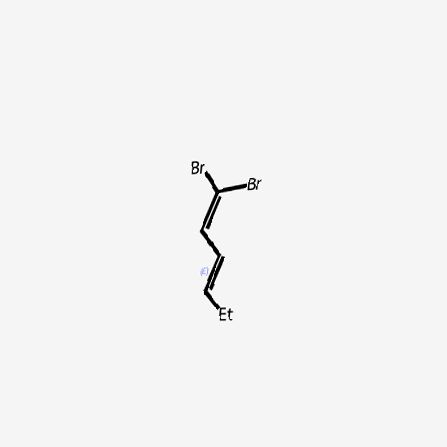 CC/C=C/C=C(Br)Br